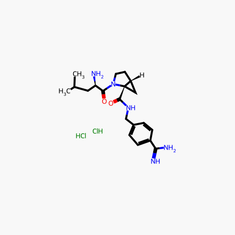 CC(C)C[C@@H](N)C(=O)N1CC[C@@H]2C[C@@]21C(=O)NCc1ccc(C(=N)N)cc1.Cl.Cl